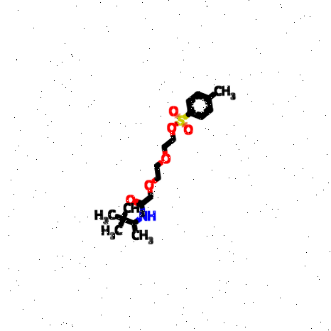 Cc1ccc(S(=O)(=O)OCCOCCOCC(=O)NC(C)C(C)(C)C)cc1